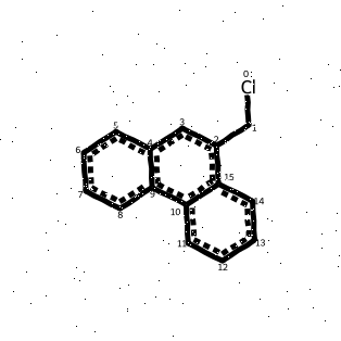 ClCc1cc2ccccc2c2ccccc12